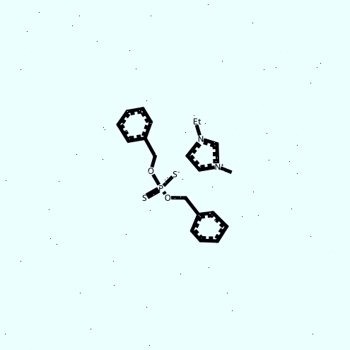 CCn1cc[n+](C)c1.S=P([S-])(OCc1ccccc1)OCc1ccccc1